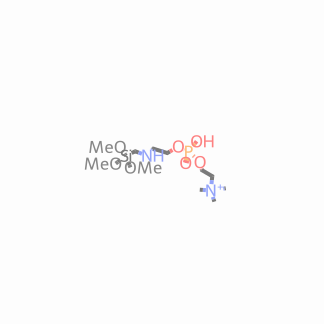 CO[Si](CNCCOP(=O)(O)OCC[N+](C)(C)C)(OC)OC